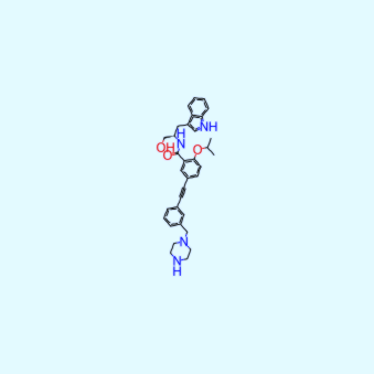 CC(C)Oc1ccc(C#Cc2cccc(CN3CCNCC3)c2)cc1C(=O)N[C@@H](CO)Cc1c[nH]c2ccccc12